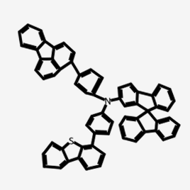 c1ccc2c(c1)-c1cccc3c(-c4ccc(N(c5ccc(-c6cccc7c6sc6ccccc67)cc5)c5ccc6c(c5)C5(c7ccccc7-c7ccccc75)c5ccccc5-6)cc4)ccc-2c13